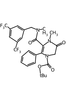 CN(Cc1cc(C(F)(F)F)cc(C(F)(F)F)c1)C(=O)C1=C(c2ccccc2)N(C(=O)OC(C)(C)C)CC(=O)N1C